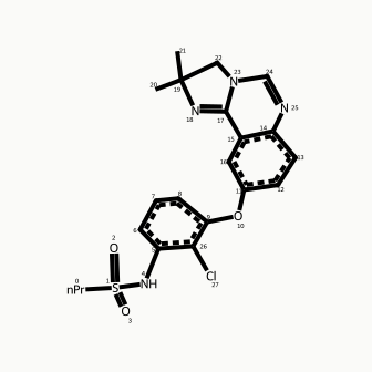 CCCS(=O)(=O)Nc1cccc(Oc2ccc3c(c2)C2=NC(C)(C)CN2C=N3)c1Cl